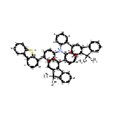 CC1(C)c2ccccc2-c2cc(-c3ccccc3N(c3ccc(-c4cccc5c4sc4ccccc45)cc3)c3ccccc3-c3cccc4c3-c3ccccc3C4(C)C)ccc21